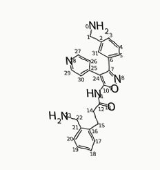 NCc1cccc(-c2noc(NC(=O)CCc3ccccc3CN)c2-c2ccncc2)c1